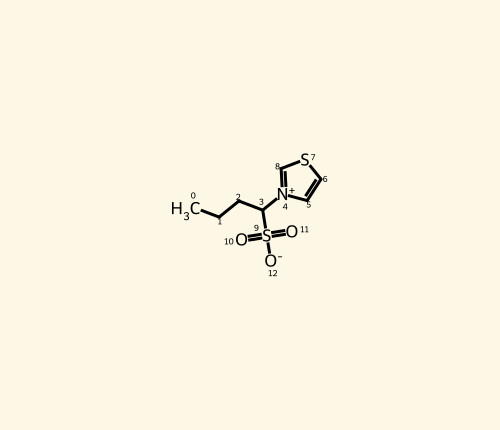 CCCC([n+]1ccsc1)S(=O)(=O)[O-]